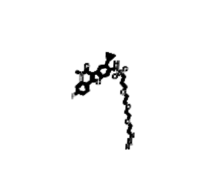 CNC(=O)c1c(-c2ccc(F)cc2)oc2cc(NS(=O)(=O)CCCOCCOCCOCCN=[N+]=[N-])c(C3CC3)cc12